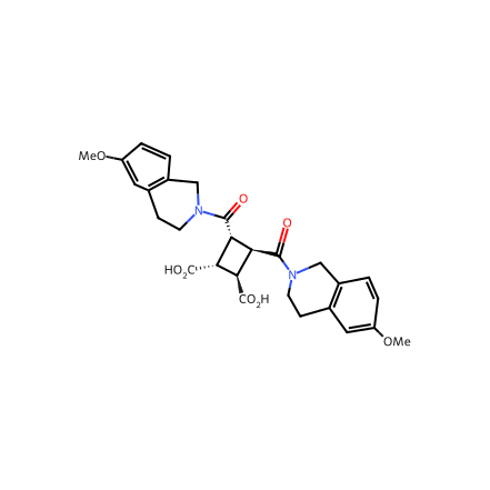 COc1ccc2c(c1)CCN(C(=O)[C@H]1[C@@H](C(=O)O)[C@H](C(=O)O)[C@@H]1C(=O)N1CCc3cc(OC)ccc3C1)C2